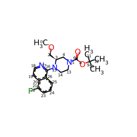 COC[C@H]1CN(C(=O)OC(C)(C)C)CCN1c1nccc2c(F)cccc12